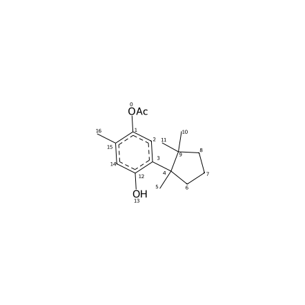 CC(=O)Oc1cc(C2(C)CCCC2(C)C)c(O)cc1C